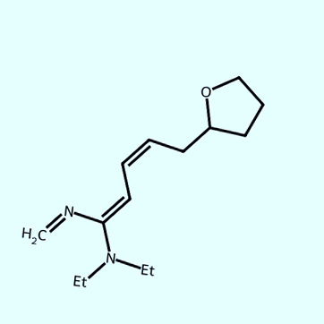 C=N/C(=C\C=C/CC1CCCO1)N(CC)CC